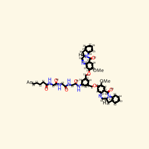 COc1cc2c(cc1OCc1cc(COc3cc4c(cc3OC)C(=O)N3c5ccccc5C[C@H]3C=N4)cc(NC(=O)CNC(=O)CNC(=O)CNC(=O)CCCCC(C)=O)c1)N=C[C@@H]1Cc3ccccc3N1C2=O